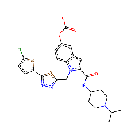 CC(C)N1CCC(NC(=O)c2cc3cc(OC(=O)O)ccc3n2Cc2nnc(-c3ccc(Cl)s3)s2)CC1